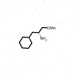 COC[C@H](N)CC1CCCCC1